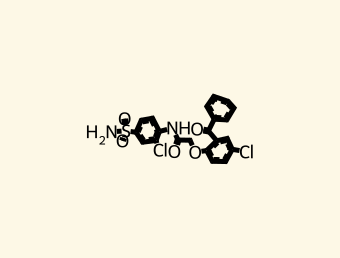 NS(=O)(=O)c1ccc(NC(=O)COc2ccc(Cl)cc2C(=O)c2ccccc2)c(Cl)c1